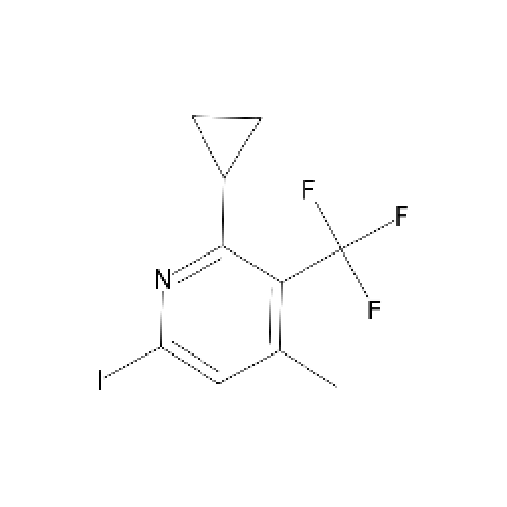 Cc1cc(I)nc(C2CC2)c1C(F)(F)F